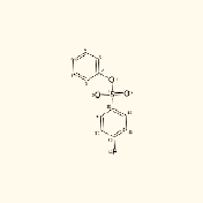 O=S(=O)(Oc1cc[c]cc1)c1ccc(F)cc1